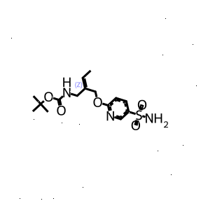 C/C=C(/CNC(=O)OC(C)(C)C)COc1ccc(S(N)(=O)=O)cn1